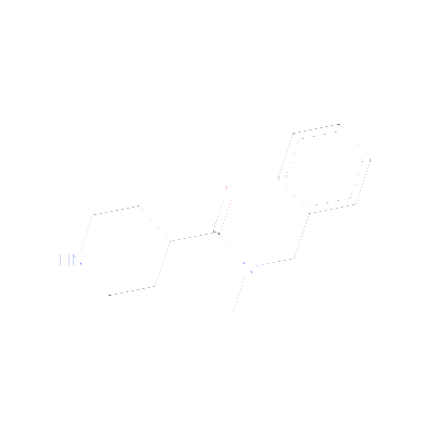 CN(Cc1c[c]ccc1)C(=O)C1CCNCC1